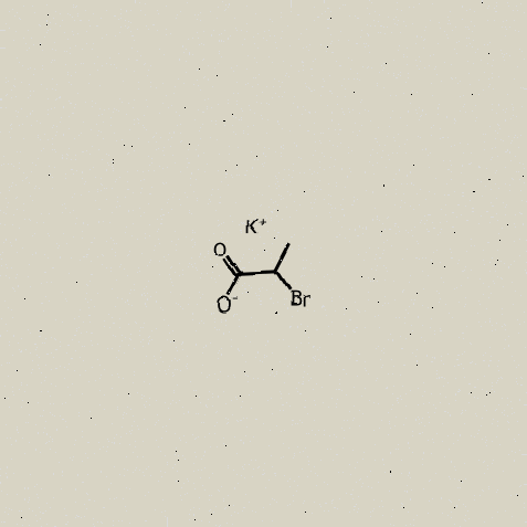 CC(Br)C(=O)[O-].[K+]